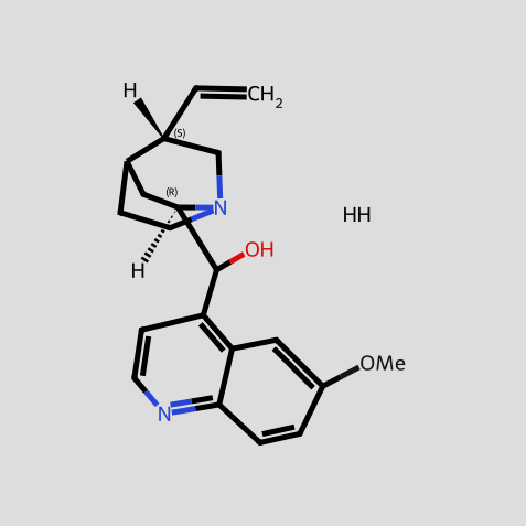 C=C[C@@H]1CN2CCC1C[C@@H]2C(O)c1ccnc2ccc(OC)cc12.[HH]